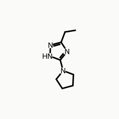 CCc1n[nH]c(N2CCCC2)n1